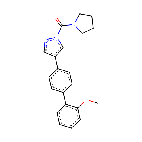 COc1ccccc1-c1ccc(-c2cnn(C(=O)N3CCCC3)c2)cc1